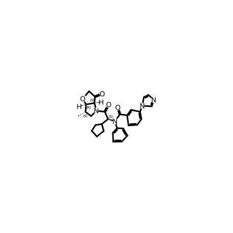 C[C@H]1CN(C(=O)[C@H](C2CCCC2)N(C(=O)c2cccc(-n3ccnc3)c2)c2ccccc2)[C@@H]2C(=O)CO[C@@H]21